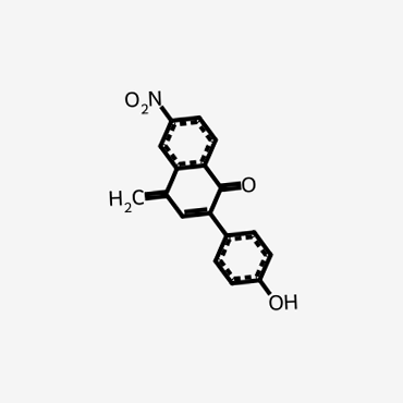 C=C1C=C(c2ccc(O)cc2)C(=O)c2ccc([N+](=O)[O-])cc21